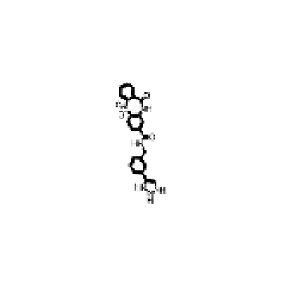 O=C(NCc1cccc(C2=CNNN2)c1)c1ccc2c(c1)NC(=O)c1ccccc1S2(=O)=O